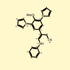 COc1c(-n2cccc2)cc(C(=CNc2ccccc2)CC#N)cc1-n1cccc1